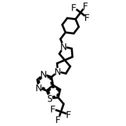 FC(F)(F)Cc1cc2c(N3CCC4(CCN(CC5CCC(C(F)(F)F)CC5)C4)C3)ncnc2s1